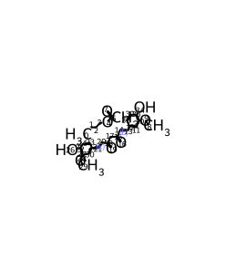 CCCCOC(C)=O.COc1cc(/C=C/C(=O)CC(=O)/C=C/c2ccc(O)c(OC)c2)ccc1O